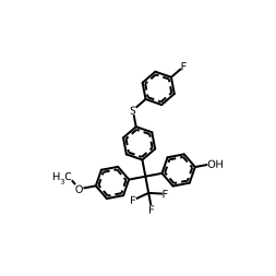 COc1ccc(C(c2ccc(O)cc2)(c2ccc(Sc3ccc(F)cc3)cc2)C(F)(F)F)cc1